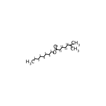 CCCCCCCCOC(=O)CCCCC(C)C